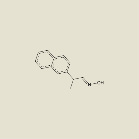 CC(C=NO)c1ccc2ccccc2c1